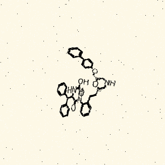 O=C(O)NC(C(=O)Nc1ccccc1CC[C@@H]1CNC[C@@H](COc2ccc(-c3ccccc3)cc2)O1)C(c1ccccc1)c1ccccc1